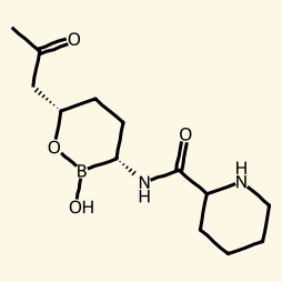 CC(=O)C[C@@H]1CC[C@H](NC(=O)C2CCCCN2)B(O)O1